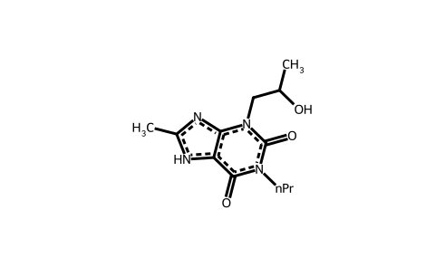 CCCn1c(=O)c2[nH]c(C)nc2n(CC(C)O)c1=O